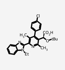 CCn1c(-c2nc(C)c([C@H](OC(C)(C)C)C(=O)O)c(-c3ccc(Cl)cc3)c2C)nc2ccccc21